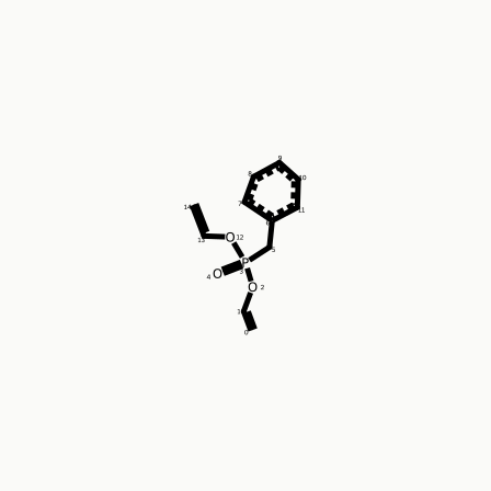 C=COP(=O)(Cc1ccccc1)OC=C